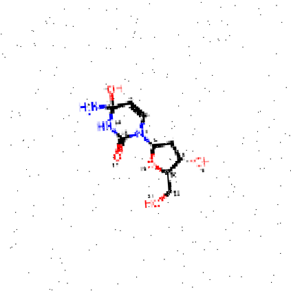 NC1(O)C=CN([C@H]2C[C@H](O)[C@@H](CO)O2)C(=O)N1